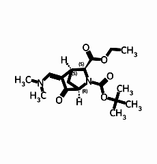 CCOC(=O)[C@@H]1[C@H]2C[C@H](C(=O)C2=CN(C)C)N1C(=O)OC(C)(C)C